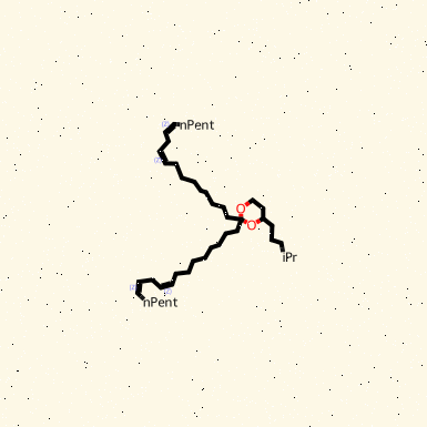 CCCCC/C=C\C/C=C\CCCCCCCCC1(CCCCCCCC/C=C\C/C=C\CCCCC)OCCC(CCCC(C)C)O1